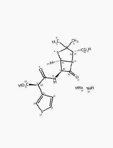 CC1(C)S[C@@H]2[C@H](NC(=O)[C@H](C(=O)O)c3ccsc3)C(=O)N2[C@H]1C(=O)O.[NaH].[NaH]